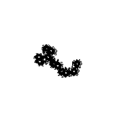 Ic1cccc2cccc(-c3cc(-c4ccc5cc(-c6ccc7ccc(-c8cccc(-c9ccccn9)c8)nc7c6)ccc5n4)cc(-c4cccc5cccnc45)c3)c12